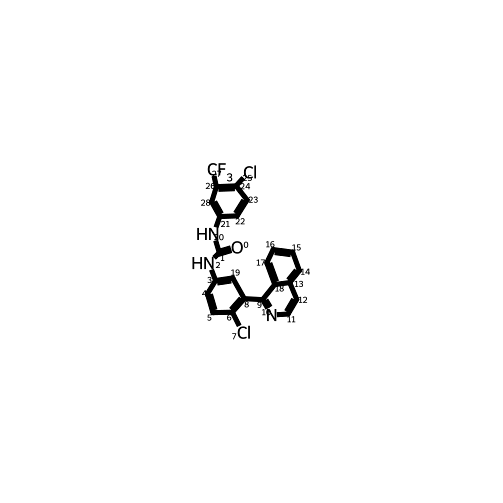 O=C(Nc1ccc(Cl)c(-c2nccc3ccccc23)c1)Nc1ccc(Cl)c(C(F)(F)F)c1